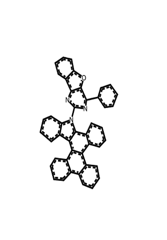 c1ccc(-c2nc(-n3c4ccccc4c4c5c6ccccc6c6ccccc6c5c5ccccc5c43)nc3c2oc2ccccc23)cc1